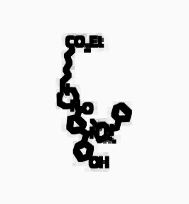 CCOC(=O)CCCCCCN1CCCN(C(=O)c2cccc(C(c3cccc(O)c3)N3C[C@@H](C)N(Cc4ccccc4)C[C@@H]3C)c2)CC1